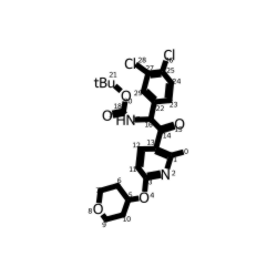 Cc1nc(OC2CCOCC2)ccc1C(=O)C(NC(=O)OC(C)(C)C)c1ccc(Cl)c(Cl)c1